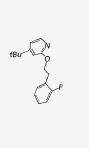 CC(C)(C)c1ccnc(OCCc2ccccc2F)c1